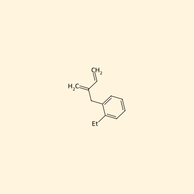 C=CC(=C)Cc1ccccc1CC